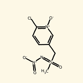 CS(=O)(Cc1ccc(Cl)[n+]([O-])c1)=N[N+](=O)[O-]